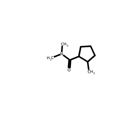 CC1CCCC1C(=O)N(C)C